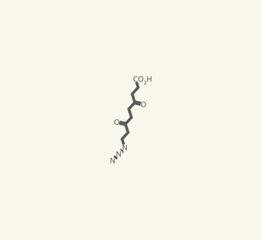 [N-]=[N+]=NCCC(=O)CCC(=O)CCC(=O)O